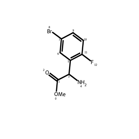 COC(=O)C(N)c1cc(Br)ccc1F